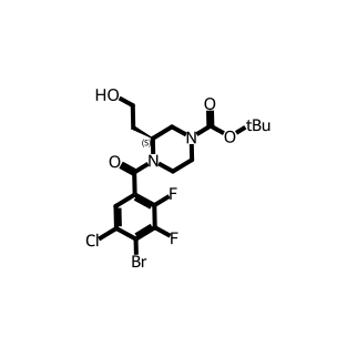 CC(C)(C)OC(=O)N1CCN(C(=O)c2cc(Cl)c(Br)c(F)c2F)[C@@H](CCO)C1